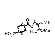 CO[C@H](C)[C@@H](COC(=O)c1ccc(C(=O)O)cc1)OC